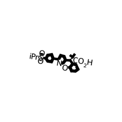 CC(C)S(=O)(=O)c1ccc(-c2ccc3c(n2)Oc2ccccc2[C@@H]3C(C)(C)C(=O)O)cc1